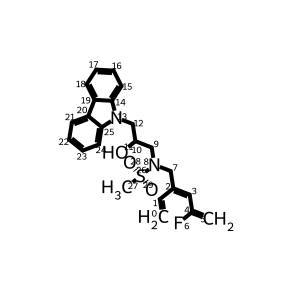 C=C/C(=C\C(=C)F)CN(CC(O)Cn1c2ccccc2c2ccccc21)S(C)(=O)=O